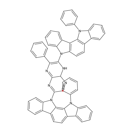 C1=NC2NC(n3c4ccccc4c4c3ccc3c5ccccc5n(-c5ccccc5)c34)=C(c3ccccc3)N=C2N=C1n1c2ccccc2c2ccc3c4ccccc4n(-c4ccccc4)c3c21